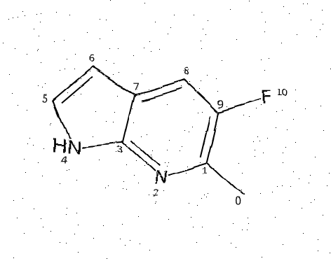 Cc1nc2[nH]ccc2cc1F